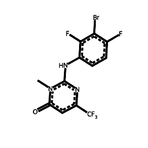 Cn1c(Nc2ccc(F)c(Br)c2F)nc(C(F)(F)F)cc1=O